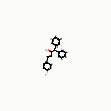 O=C(C=Cc1ccc(F)cc1)C(c1ccccc1)c1ccccc1